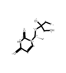 CCC(CO)(CF)O[C@H](C)n1ccc(=O)[nH]c1=O